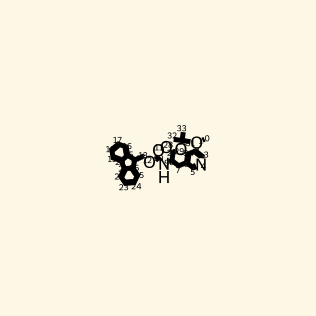 COc1cncc(CC(NC(=O)OCC2c3ccccc3-c3ccccc32)C(=O)OC(C)(C)C)c1